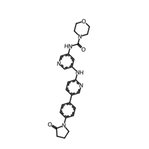 O=C(Nc1cncc(Nc2ccc(-c3ccc(N4CCCC4=O)cc3)cn2)c1)N1CCOCC1